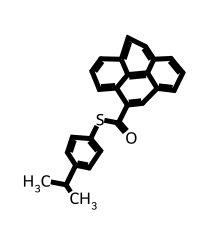 CC(C)c1ccc(SC(=O)c2cc3cccc4ccc5cccc2c5c43)cc1